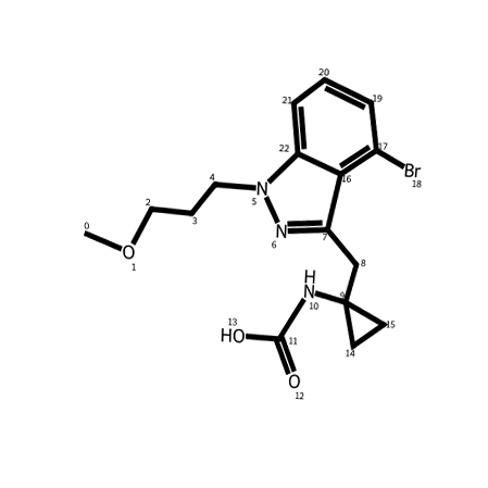 COCCCn1nc(CC2(NC(=O)O)CC2)c2c(Br)cccc21